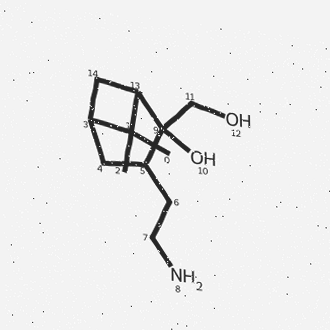 CC1(C)C2CC(CCN)C(O)(CO)C1C2